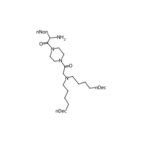 CCCCCCCCCCCCCCN(CCCCCCCCCCCCCC)CC(=O)N1CCN(C(=O)C(N)CCCCCCCCC)CC1